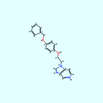 c1ccc(COc2ccc(OCCn3cnc4cnccc43)cc2)cc1